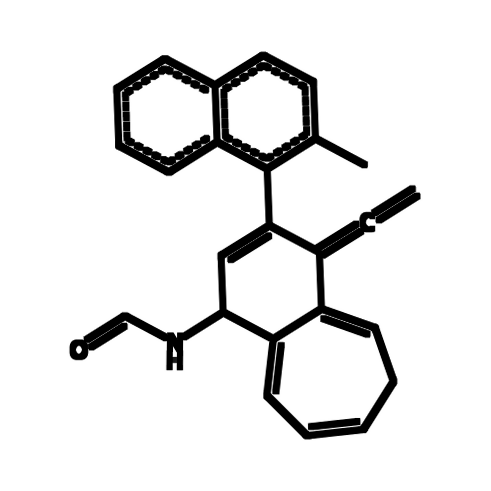 C=C=C1C2=CCC=CC=C2C(NC=O)C=C1c1c(C)ccc2ccccc12